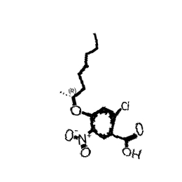 CCCCCC[C@@H](C)Oc1cc(Cl)c(C(=O)O)cc1[N+](=O)[O-]